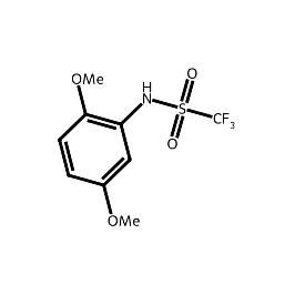 COc1ccc(OC)c(NS(=O)(=O)C(F)(F)F)c1